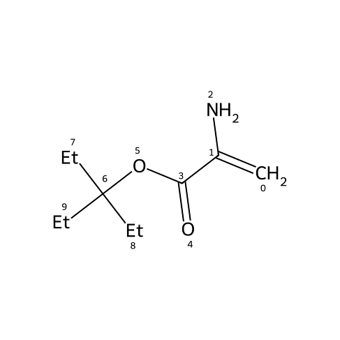 C=C(N)C(=O)OC(CC)(CC)CC